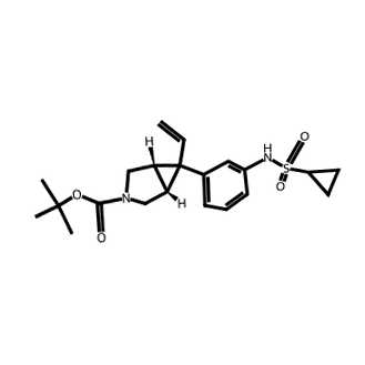 C=CC1(c2cccc(NS(=O)(=O)C3CC3)c2)[C@@H]2CN(C(=O)OC(C)(C)C)C[C@@H]21